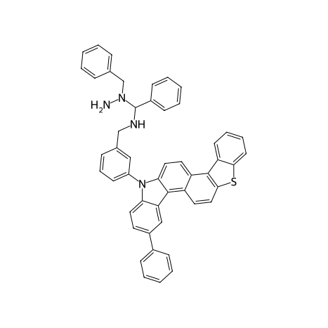 NN(Cc1ccccc1)C(NCc1cccc(-n2c3ccc(-c4ccccc4)cc3c3c4ccc5sc6ccccc6c5c4ccc32)c1)c1ccccc1